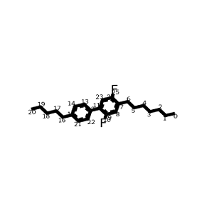 CCCCCCCc1cc(F)c(-c2ccc(CCCCC)cc2)cc1F